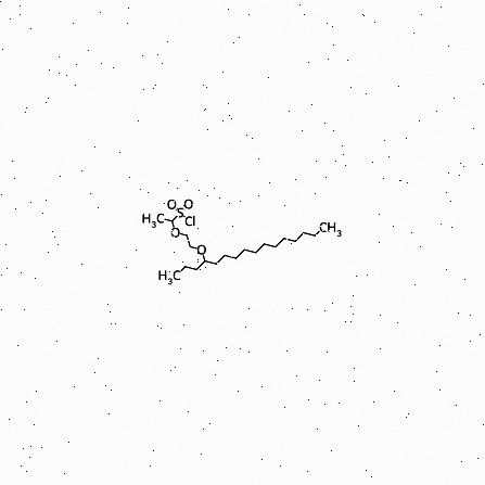 CCCCCCCCCCCCC(CCC)OCCOC(C)S(=O)(=O)Cl